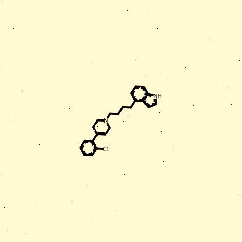 Clc1ccccc1C1=CCN(CCCCc2cccc3[nH]ccc23)CC1